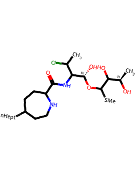 CCCCCCCC1CCNC(C(=O)NC(C(C)Cl)[C@H](O)OC(SC)C(O)[C@@H](C)O)CC1